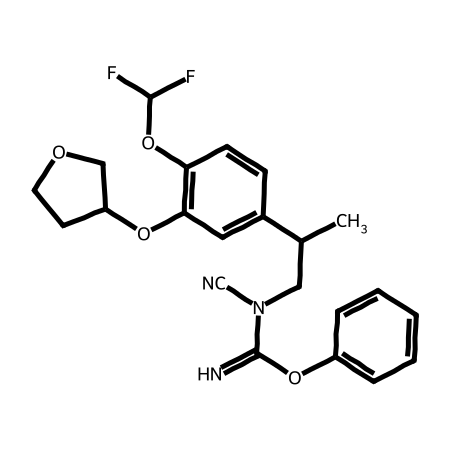 CC(CN(C#N)C(=N)Oc1ccccc1)c1ccc(OC(F)F)c(OC2CCOC2)c1